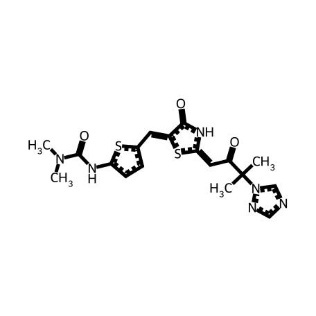 CN(C)C(=O)Nc1ccc(/C=c2\s/c(=C/C(=O)C(C)(C)n3cncn3)[nH]c2=O)s1